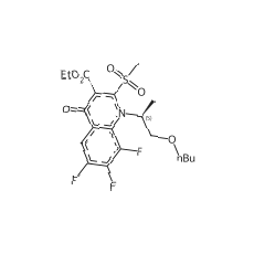 CCCCOC[C@H](C)n1c(S(C)(=O)=O)c(C(=O)OCC)c(=O)c2cc(F)c(F)c(F)c21